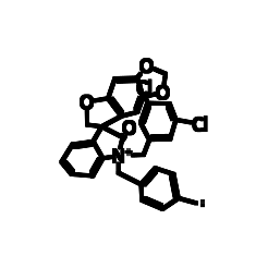 [CH]c1ccc(C[N+]2(Cc3cc(Cl)cc(Cl)c3)C(=O)C3(COc4cc5c(cc43)OCO5)c3ccccc32)cc1